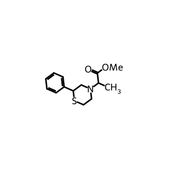 COC(=O)C(C)N1CCSC(c2ccccc2)C1